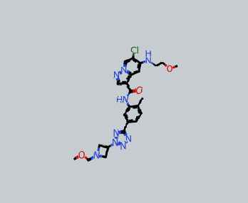 COCCNc1cc2c(C(=O)Nc3cc(-c4nnn(C5CN(COC)C5)n4)ccc3C)cnn2cc1Cl